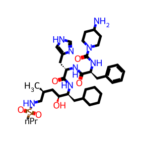 CCCS(=O)(=O)NC[C@@H](C)C[C@H](O)[C@H](CC1CCCCC1)NC(=O)[C@H](Cc1c[nH]cn1)NC(=O)[C@H](Cc1ccccc1)NC(=O)N1CCC(N)CC1